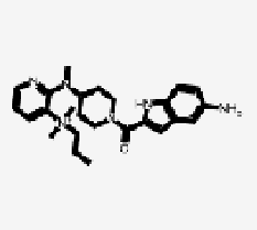 CCC[N+](C)(C)c1cccnc1N(C)C1CCN(C(=O)c2cc3cc(N)ccc3[nH]2)CC1